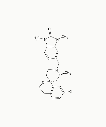 C[C@H]1C[C@@]2(CCN1Cc1ccc3c(c1)n(C)c(=O)n3C)OCCc1ccc(Cl)cc12